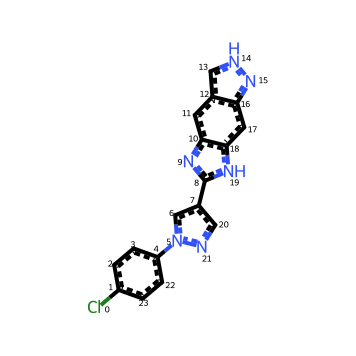 Clc1ccc(-n2cc(-c3nc4cc5c[nH]nc5cc4[nH]3)cn2)cc1